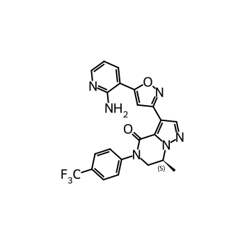 C[C@H]1CN(c2ccc(C(F)(F)F)cc2)C(=O)c2c(-c3cc(-c4cccnc4N)on3)cnn21